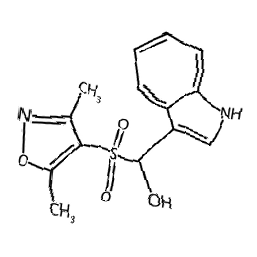 Cc1noc(C)c1S(=O)(=O)C(O)c1c[nH]c2ccccc12